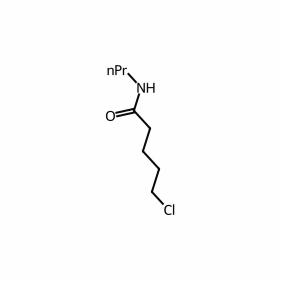 [CH2]CCNC(=O)CCCCCl